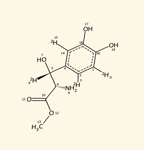 [2H]c1c([2H])c([C@@]([2H])(O)[C@H](N)C(=O)OC)c([2H])c(O)c1O